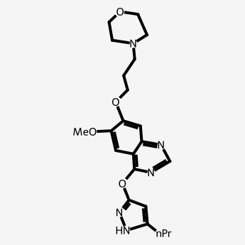 CCCc1cc(Oc2ncnc3cc(OCCCN4CCOCC4)c(OC)cc23)n[nH]1